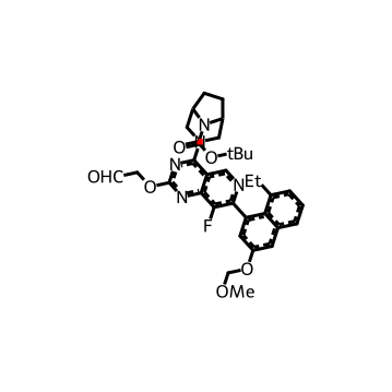 CCc1cccc2cc(OCOC)cc(-c3ncc4c(N5CC6CCC(C5)N6C(=O)OC(C)(C)C)nc(OCC=O)nc4c3F)c12